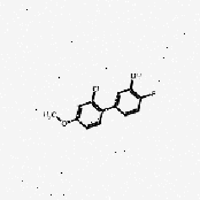 COc1[c]c(Cl)c(-c2ccc(F)c(O)c2)cc1